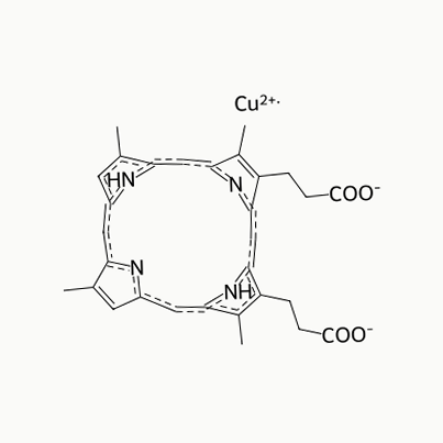 CC1=Cc2cc3[nH]c(cc4nc(cc5[nH]c(cc1n2)cc5C)C(C)=C4CCC(=O)[O-])c(CCC(=O)[O-])c3C.[Cu+2]